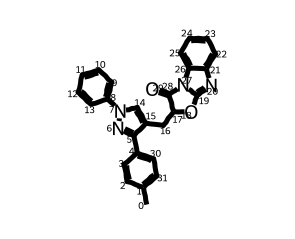 Cc1ccc(-c2nn(-c3ccccc3)cc2CC2Oc3nc4ccccc4n3C2=O)cc1